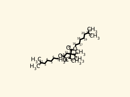 CC(C)CCCCCOC(=O)CC(C(=O)OCCCCCC(C)C)(C(C)C)C(C)C